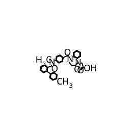 Cc1ccc(-c2ccccc2C(=O)N(C)c2ccc(C(=O)N3CCC(=O)N(CC(=O)O)c4ccccc43)cc2)cc1